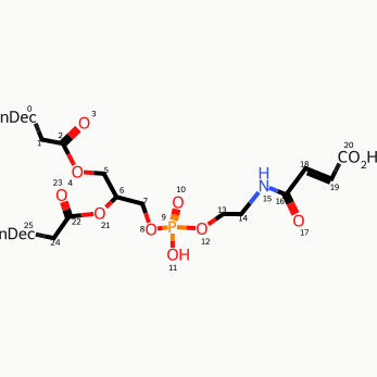 CCCCCCCCCCCC(=O)OCC(COP(=O)(O)OCCNC(=O)/C=C/C(=O)O)OC(=O)CCCCCCCCCCC